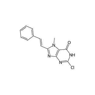 Cn1c(/C=C/c2ccccc2)nc2nc(Cl)[nH]c(=O)c21